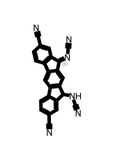 N#C/N=C1\c2cc(C#N)ccc2-c2cc3c(cc21)C(NC#N)c1cc(C#N)ccc1-3